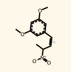 COc1cc(/C=C\C(C)[N+](=O)[O-])cc(OC)c1